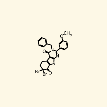 COc1cccc(-c2nc3sc4c(c3c(=O)n2Cc2ccccc2)CCC(Br)(Br)C4=O)c1